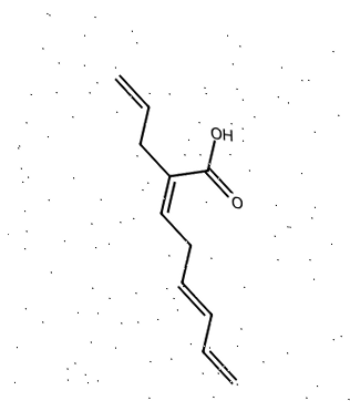 [CH]=CC=CCC=C(CC=C)C(=O)O